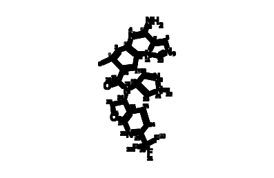 Cc1cc2nc(N)c3cncn3c2cc1C(=O)N(c1cnn(C)c1)[C@@H]1COc2nc(C(F)(F)F)ccc21